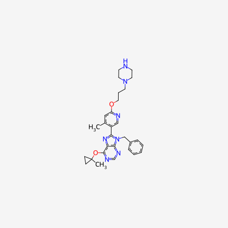 Cc1cc(OCCCN2CCNCC2)ncc1-c1nc2c(OC3(C)CC3)ncnc2n1Cc1ccccc1